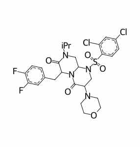 CC(C)N1CC2N(C(=O)C(N3CCOCC3)CN2S(=O)(=O)c2ccc(Cl)cc2Cl)C(Cc2ccc(F)c(F)c2)C1=O